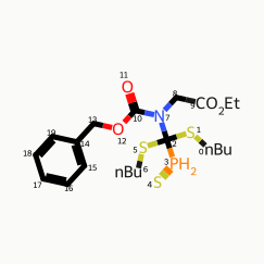 CCCCSC([PH2]=S)(SCCCC)N(CC(=O)OCC)C(=O)OCc1ccccc1